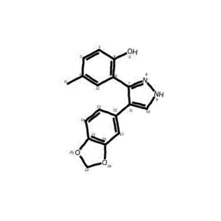 Cc1ccc(O)c(-c2n[nH]cc2-c2ccc3c(c2)OCO3)c1